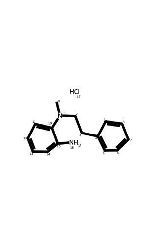 CN(CCc1ccccc1)c1ccccc1N.Cl